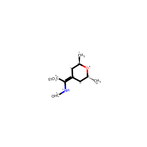 CCOC(=O)C(NC=O)=C1C[C@@H](C)O[C@H](C)C1